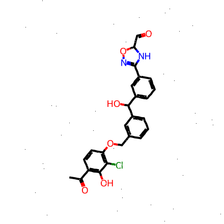 CC(=O)c1ccc(OCc2cccc(C(O)c3cccc(C4=NOC(C=O)N4)c3)c2)c(Cl)c1O